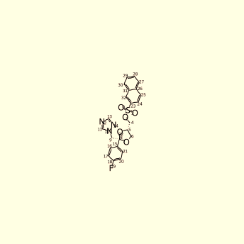 O=S(=O)(OC[C@@H]1CO[C@@](Cn2cncn2)(c2ccc(F)cc2)O1)c1ccc2ccccc2c1